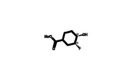 COC(=O)C1CC[C@H](O)[C@H](F)C1